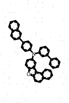 c1ccc(-c2cccc(N(c3ccc(-c4ccc5ccccc5c4)cc3)c3ccc4oc5ccc6ccccc6c5c4c3)c2)cc1